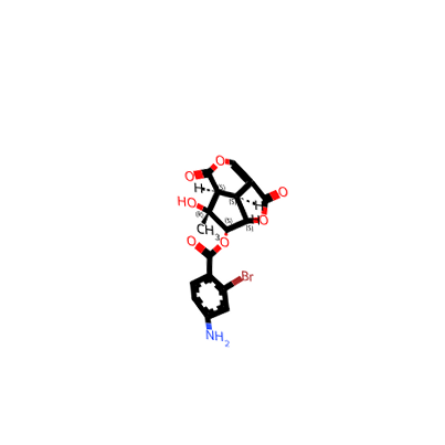 C[C@]1(O)[C@@H](OC(=O)c2ccc(N)cc2Br)[C@H]2OC(=O)C3=COC(=O)[C@H]1[C@@H]32